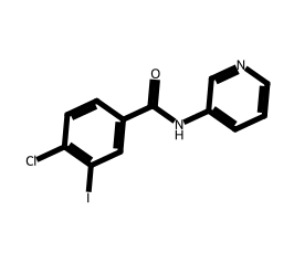 O=C(Nc1cccnc1)c1ccc(Cl)c(I)c1